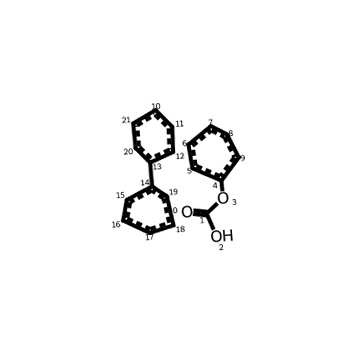 O=C(O)Oc1ccccc1.c1ccc(-c2ccccc2)cc1